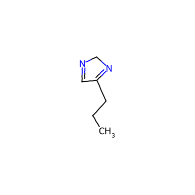 CCCC1=NCN=C1